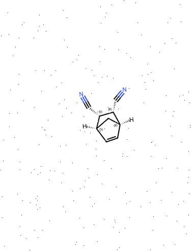 N#C[C@@H]1[C@H](C#N)[C@H]2C=C[C@@H]1C2